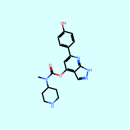 CN(C(=O)Oc1cc(-c2ccc(O)cc2)nc2[nH]ncc12)C1CCNCC1